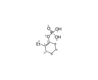 CCC1=C(OP(=O)(O)O)CCCC1